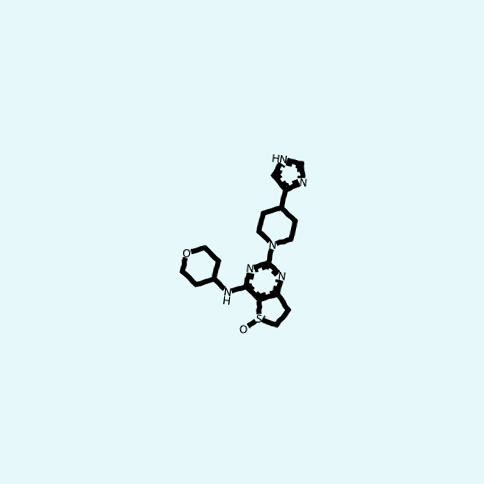 [O-][S+]1CCc2nc(N3CCC(c4c[nH]cn4)CC3)nc(NC3CCOCC3)c21